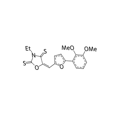 CCN1C(=S)OC(=Cc2ccc(-c3cccc(OC)c3OC)o2)C1=S